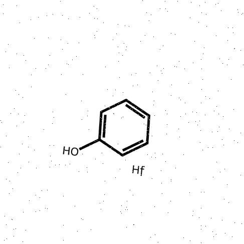 Oc1ccccc1.[Hf]